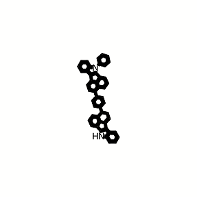 C1=C2c3c(cccc3C(c3ccc(-c4ccc5c6c(cccc46)-c4c-5c5ccccc5n4-c4ccccc4)cc3)C1)-c1[nH]c3ccccc3c12